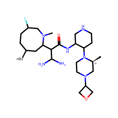 CCCCC1CCC(F)CN(C)C(C(C(=O)NC2CNCCC2N2CCN(C3COC3)C[C@@H]2C)C(N)N)C1